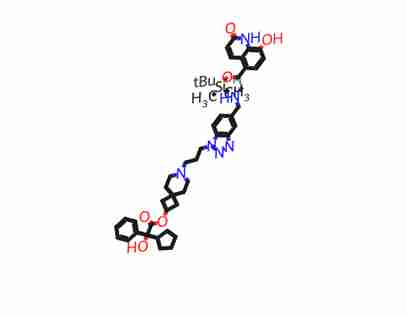 CC(C)(C)[Si](C)(C)O[C@@H](CNCc1ccc2c(c1)nnn2CCCN1CCC2(CC1)CC(OC(=O)C(O)(c1ccccc1)C1CCCC1)C2)c1ccc(O)c2[nH]c(=O)ccc12